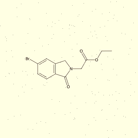 CCOC(=O)CN1Cc2cc(Br)ccc2C1=O